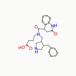 O=C(O)CCCN(CC1CNCC1Cc1ccccc1)C(=O)C1CC(=O)Nc2ccccc21